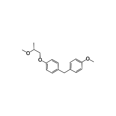 COc1ccc(Cc2ccc(OCC(C)OC)cc2)cc1